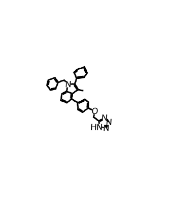 Cc1c(-c2ccccc2)n(Cc2ccccc2)c2cccc(-c3ccc(OCc4nnn[nH]4)cc3)c12